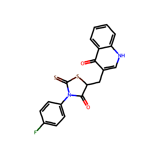 O=C1C(Cc2c[nH]c3ccccc3c2=O)SC(=S)N1c1ccc(F)cc1